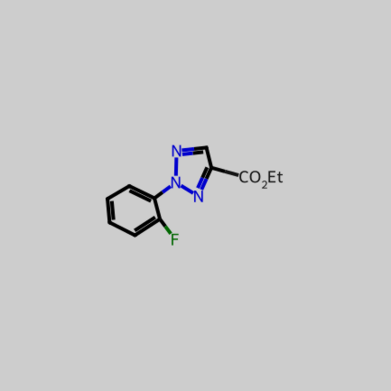 CCOC(=O)c1cnn(-c2ccccc2F)n1